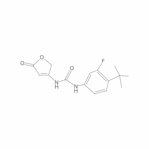 CC(C)(C)c1ccc(NC(=O)NC2=CC(=O)OC2)cc1F